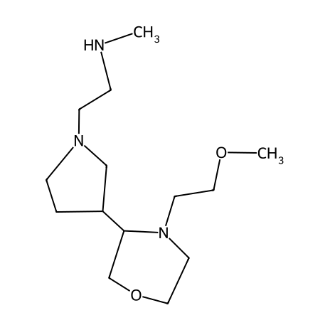 CNCCN1CCC(C2COCCN2CCOC)C1